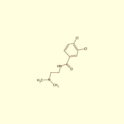 CN(C)CCNC(=O)c1ccc(Cl)c(Cl)c1